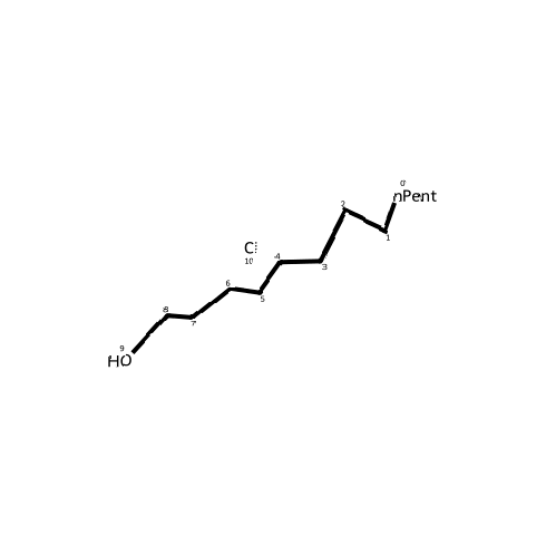 CCCCCCCCCCCCCO.[C]